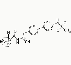 CS(=O)(=O)Nc1ccc(-c2ccc(C[C@@H](C#N)NC(=O)[C@H]3NC4CCC3CC4)cc2)cc1